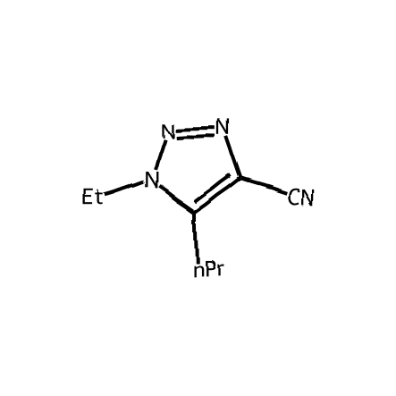 CCCc1c(C#N)nnn1CC